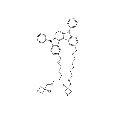 CCC1(COCCCCCOCc2ccc3c(c2)c2c4c5cc(COCCCCCOCC6(CC)COC6)ccc5n(-c5ccccc5)c4ccc2n3-c2ccccc2)COC1